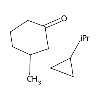 CC(C)C1CC1.CC1CCCC(=O)C1